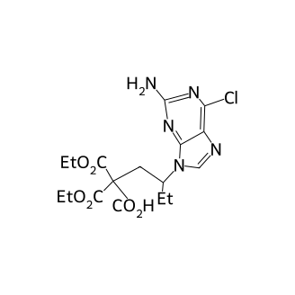 CCOC(=O)C(CC(CC)n1cnc2c(Cl)nc(N)nc21)(C(=O)O)C(=O)OCC